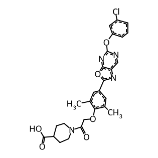 Cc1cc(-c2nc3cnc(Oc4cccc(Cl)c4)nc3o2)cc(C)c1OCC(=O)N1CCC(C(=O)O)CC1